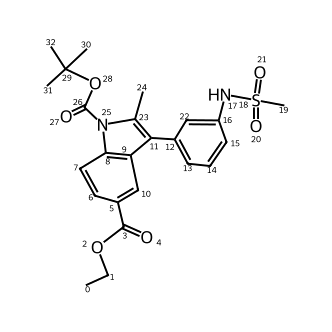 CCOC(=O)c1ccc2c(c1)c(-c1cccc(NS(C)(=O)=O)c1)c(C)n2C(=O)OC(C)(C)C